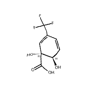 O=C(O)[C@@]1(O)C=C(C(F)(F)F)C=C[C@H]1O